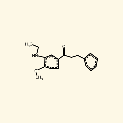 CCNc1cc(C(=O)CCc2ccccc2)ccc1OC